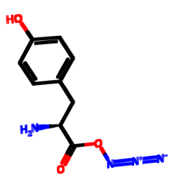 [N-]=[N+]=NOC(=O)[C@@H](N)Cc1ccc(O)cc1